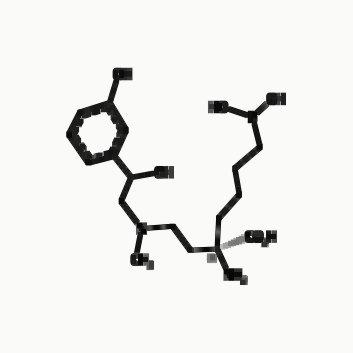 CN(CC[C@](N)(CCCCB(O)O)C(=O)O)CC(O)c1cccc(O)c1